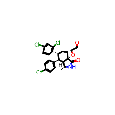 C[C@H]1NC(=O)[C@]2(OCC=O)CC[C@@H](c3ccc(Cl)cc3Cl)[C@H](c3ccc(Cl)cc3)[C@H]12